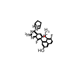 [2H]c1nc(N2CC3CCC(C2)N3)c2cc(F)c(-c3cc(O)cc4ccc(F)c(CC)c34)c(F)c2n1